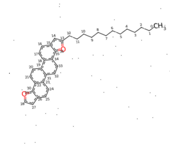 CCCCCCCCCCCCCc1cc2ccc3c4ccc5c(ccc6ccoc65)c4ccc3c2o1